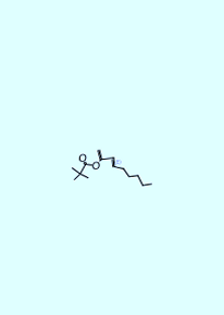 C=C(/C=C/CCCCC)OC(=O)C(C)(C)C